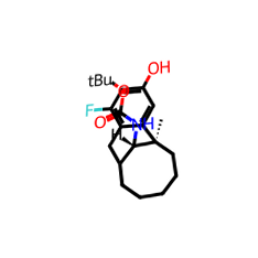 CC(C)(C)OC(=O)N[C@H]1C2CCCCC[C@]1(C)c1cc(O)cc(F)c1C2